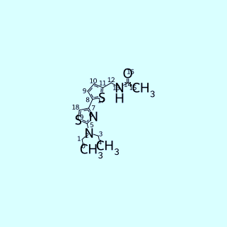 CCN(CC)c1nc(-c2ccc(CNC(C)=O)s2)cs1